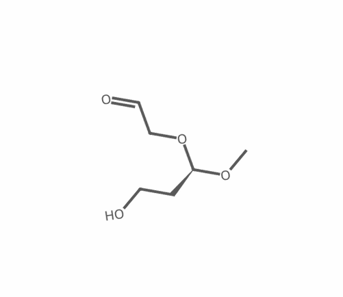 CO[C@@H](CCO)OCC=O